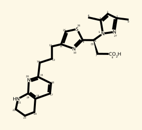 Cc1cc(C)n([C@@H](CC(=O)O)c2nc(CCCc3ccc4c(n3)NCCC4)cs2)n1